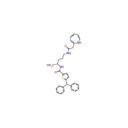 O=C(CC1=CC=CC=CN1)NCCCC(NC(=O)c1ccc(C(c2ccccc2)c2ccccc2)s1)C(=O)O